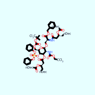 CCCCCCCCCCC[C@H](CC(=O)N[C@@H](CO[C@@H]1O[C@H](COC(=O)OC(C)(C)C(Cl)(Cl)Cl)[C@@H](OP(=O)(Oc2ccccc2)Oc2ccccc2)[C@H](OC(=O)C[C@@H](CCCCCCCCCCC)OC(=O)CCCCCCCCCC)[C@H]1NC(=O)OCC(Cl)(Cl)Cl)C(=O)OCc1ccccc1)OC(=O)CCCCCCCCCC